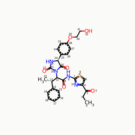 CCC(=O)c1csc(NC(=O)C([C@@H](C)c2ccccc2)N2C(=O)N[C@@H](c3ccc(OCCO)cc3)C2=O)n1